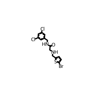 O=C(CNCc1ccc(Br)s1)NCc1cc(Cl)cc(Cl)c1